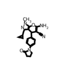 Cn1nc(C2CC2)c2c1OC(N)=C(C#N)C2c1ccc(N2CCCC2=O)cc1